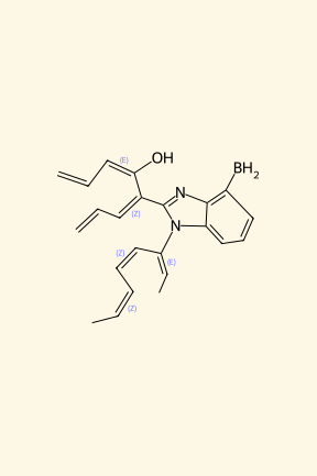 Bc1cccc2c1nc(C(=C/C=C)/C(O)=C\C=C)n2C(/C=C\C=C/C)=C/C